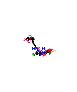 CC(C)(C)C(NC(=O)c1cc2cc(C(F)(F)P(=O)(O)O)ccc2s1)C(=O)N1CCC[C@H]1C(=O)N(CCC(=O)NCCCCCCC#Cc1cccc2c1CN(C1CCC(=O)NC1=O)C2=O)c1ccc(Br)cc1